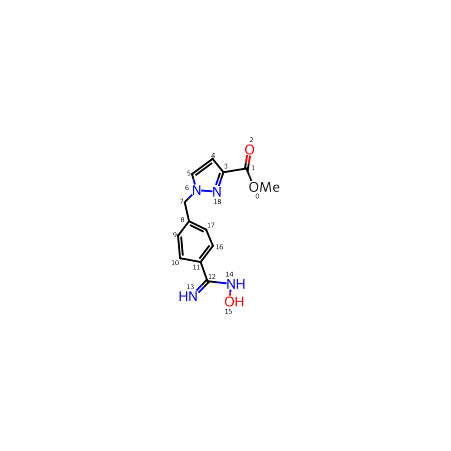 COC(=O)c1ccn(Cc2ccc(C(=N)NO)cc2)n1